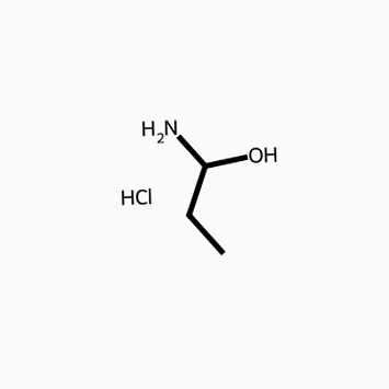 CCC(N)O.Cl